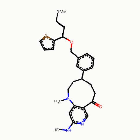 CCNc1cc2c(cn1)C(=O)CCC(c1cccc(COC(CCNC)c3cccs3)c1)CCN2C